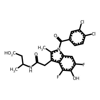 Cc1c(CC(=O)NC(C)CC(=O)O)c2c(F)c(O)c(F)cc2n1C(=O)c1ccc(Cl)c(Cl)c1